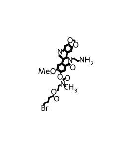 COc1cc2c(cc1OC(=O)N(C)CCOC(=O)CCCBr)c(=O)n(CCN)c1c3cc4c(cc3ncc21)OCO4